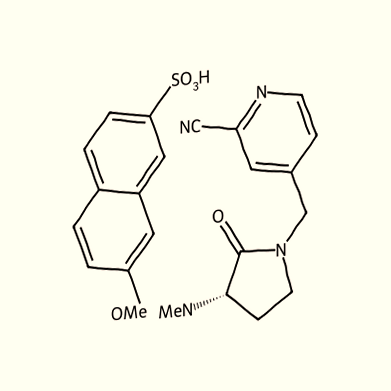 CN[C@H]1CCN(Cc2ccnc(C#N)c2)C1=O.COc1ccc2ccc(S(=O)(=O)O)cc2c1